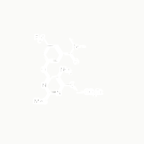 CCOC(=O)COc1nc(SC)nc(Oc2cc(C(=O)N(C)C)cc(C(F)(F)F)c2)c1[N+](=O)[O-]